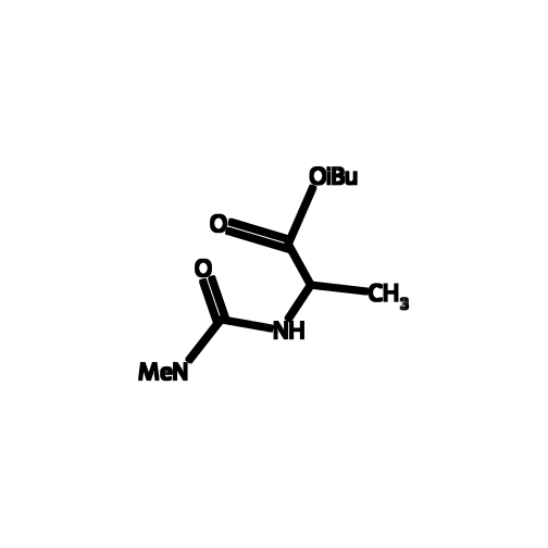 CNC(=O)NC(C)C(=O)OCC(C)C